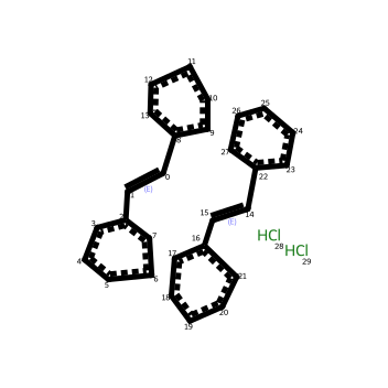 C(=C\c1ccccc1)/c1ccccc1.C(=C\c1ccccc1)/c1ccccc1.Cl.Cl